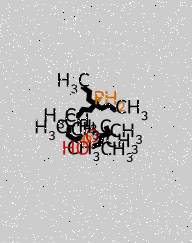 CC(CC(C)(C)C)CP(=O)(O)CC(C)CC(C)(C)C.CCCCC(P)(CCCC)CCCC